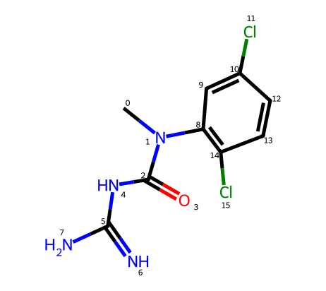 CN(C(=O)NC(=N)N)c1cc(Cl)ccc1Cl